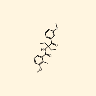 CCC(CC)(NC(=O)c1cccc(OC)c1C)C(=O)c1cccc(OC)c1